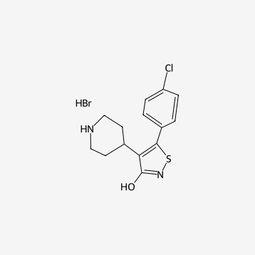 Br.Oc1nsc(-c2ccc(Cl)cc2)c1C1CCNCC1